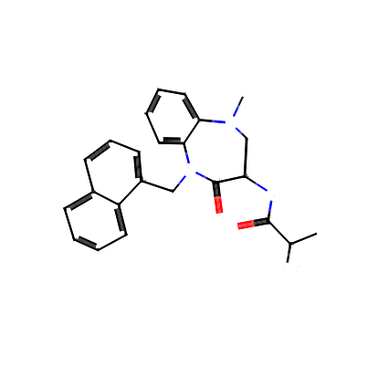 CNC(C)C(=O)NC1CN(C(C)=O)c2ccccc2N(Cc2cccc3ccccc23)C1=O.Cl